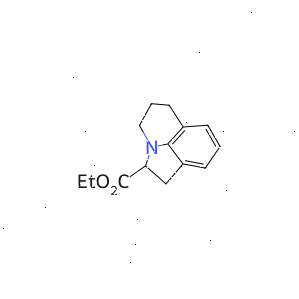 CCOC(=O)C1Cc2cccc3c2N1CCC3